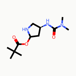 CN(C)C(=O)N[C@@H]1CNC(OC(=O)C(C)(C)C)C1